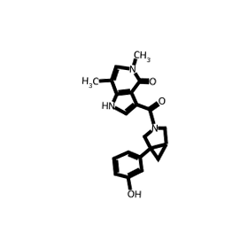 Cc1cn(C)c(=O)c2c(C(=O)N3CC4CC4(c4cccc(O)c4)C3)c[nH]c12